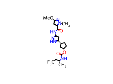 COc1cc(C(=O)Nc2cc([C@H]3CC[C@@H](OC(=O)N[C@H](C)CC(F)(F)F)C3)[nH]n2)n(C)n1